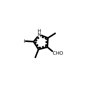 Cc1[nH]c(I)c(C)c1C=O